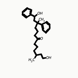 CC(CCO)CCCC(=O)CCCC(C)(CC(O)c1ccccc1)c1ccccc1